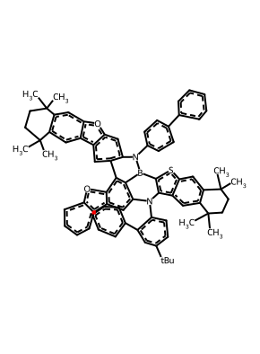 CC(C)(C)c1ccc(N2c3cc4c(oc5ccccc54)c4c3B(c3sc5cc6c(cc5c32)C(C)(C)CCC6(C)C)N(c2ccc(-c3ccccc3)cc2)c2cc3oc5cc6c(cc5c3cc2-4)C(C)(C)CCC6(C)C)c(-c2ccccc2)c1